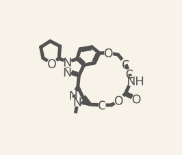 Cn1nc2cc1CCOC(=O)NCCCOc1ccc3c(c1)c-2nn3C1CCCCO1